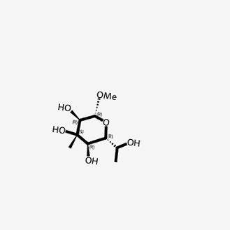 CO[C@@H]1O[C@H](C(C)O)[C@@H](O)[C@](C)(O)[C@H]1O